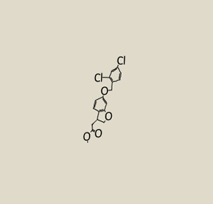 COC(=O)C[C@@H]1COc2cc(OCc3ccc(Cl)cc3Cl)ccc21